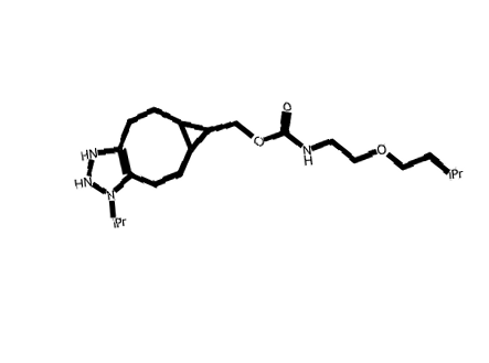 CC(C)CCOCCNC(=O)OCC1C2CCC3=C(CCC21)N(C(C)C)NN3